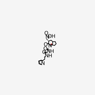 O=CN(O)C[C@H]1CC2CCCC23CC[C@@H](C(=O)NC(=O)NCCc2ccccn2)N3C1=O